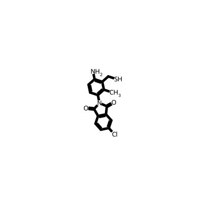 Cc1c(N2C(=O)c3ccc(Cl)cc3C2=O)ccc(N)c1CS